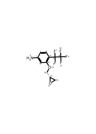 Nc1ccc(C(F)(F)C(F)(F)F)c(OC[C@@H]2CO2)c1